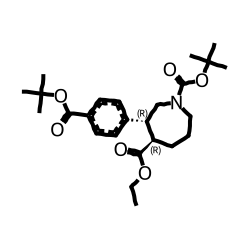 CCOC(=O)[C@@H]1CCCN(C(=O)OC(C)(C)C)C[C@H]1c1ccc(C(=O)OC(C)(C)C)cc1